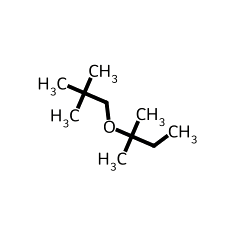 CCC(C)(C)OCC(C)(C)C